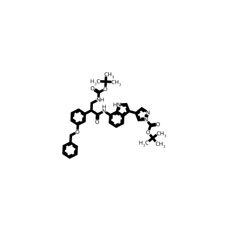 CC(C)(C)OC(=O)NCC(C(=O)Nc1cccc2c(-c3cnn(C(=O)OC(C)(C)C)c3)c[nH]c12)c1cccc(OCc2ccccc2)c1